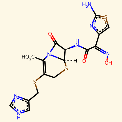 Nc1nc(/C(=N/O)C(=O)N[C@@H]2C(=O)N3C(C(=O)O)=C(SCc4c[nH]cn4)CS[C@H]23)cs1